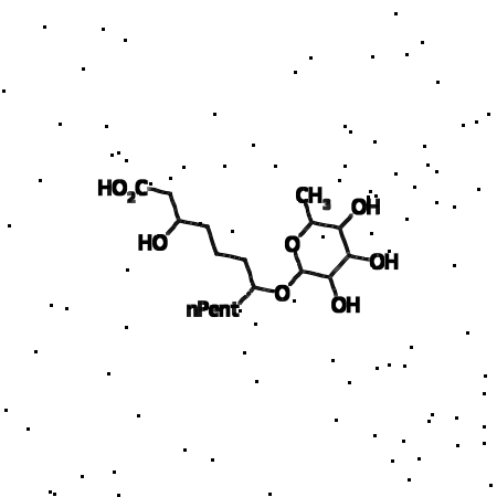 CCCCCC(CCCC(O)CC(=O)O)OC1OC(C)C(O)C(O)C1O